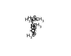 COc1ccc(CN(CCCC(C)CC(C)C)C(C)=O)cc1